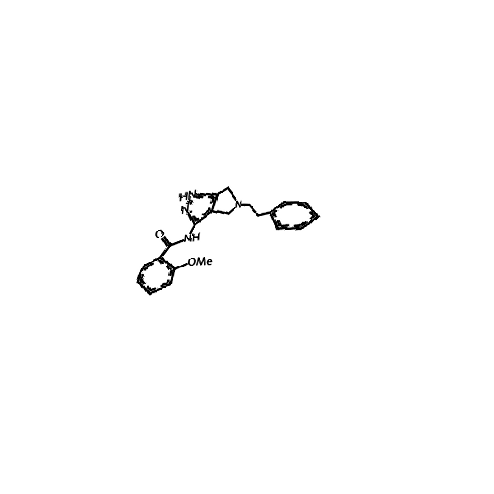 COc1ccccc1C(=O)Nc1n[nH]c2c1CN(CCc1ccccc1)C2